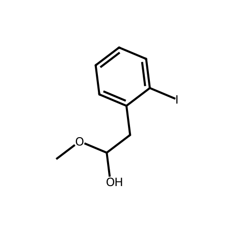 COC(O)Cc1ccccc1I